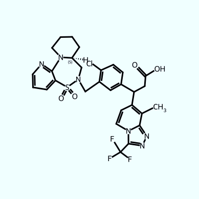 Cc1c(C(CC(=O)O)c2ccc(Cl)c(CN3C[C@@H]4CCCCN4c4ncccc4S3(=O)=O)c2)ccn2c(C(F)(F)F)nnc12